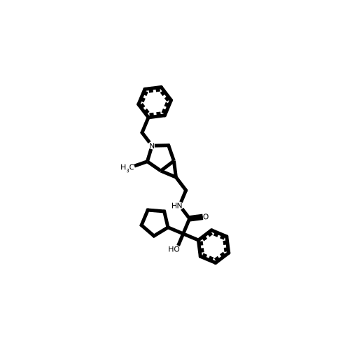 CC1C2C(CNC(=O)C(O)(c3ccccc3)C3CCCC3)C2CN1Cc1ccccc1